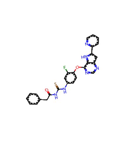 O=C(Cc1ccccc1)NC(=S)Nc1ccc(Oc2ncnc3cc(-c4ccccn4)[nH]c23)c(F)c1